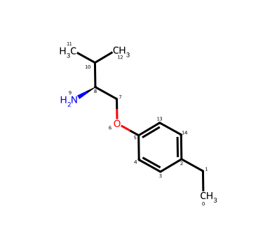 CCc1ccc(OC[C@@H](N)C(C)C)cc1